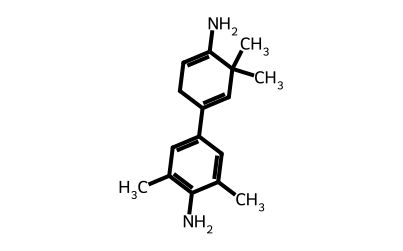 Cc1cc(C2=CC(C)(C)C(N)=CC2)cc(C)c1N